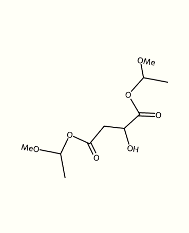 COC(C)OC(=O)CC(O)C(=O)OC(C)OC